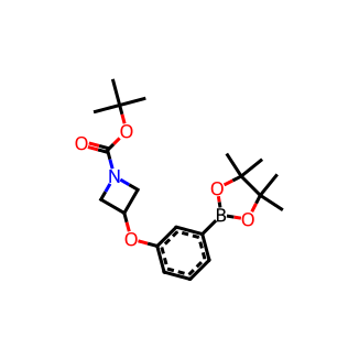 CC(C)(C)OC(=O)N1CC(Oc2cccc(B3OC(C)(C)C(C)(C)O3)c2)C1